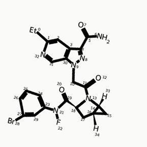 CCc1cc2c(C(N)=O)nn(CC(=O)N3[C@@H]4C[C@@H]4C[C@H]3C(=O)N(F)c3cccc(Br)c3)c2cn1